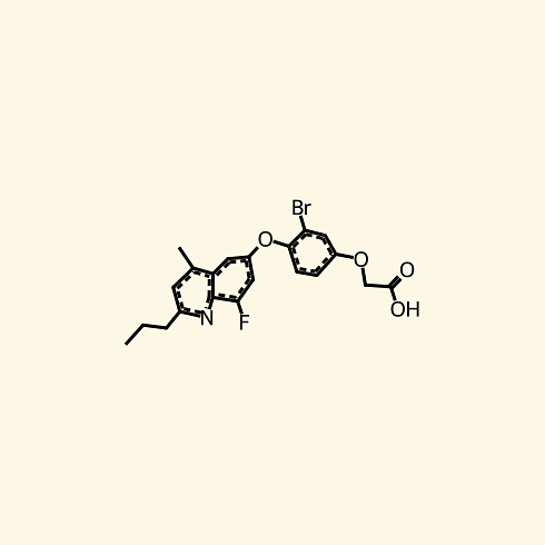 CCCc1cc(C)c2cc(Oc3ccc(OCC(=O)O)cc3Br)cc(F)c2n1